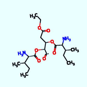 CCOC(=O)CC(OC(=O)C(N)C(C)CC)C([C]=O)OC(=O)C(N)C(C)CC